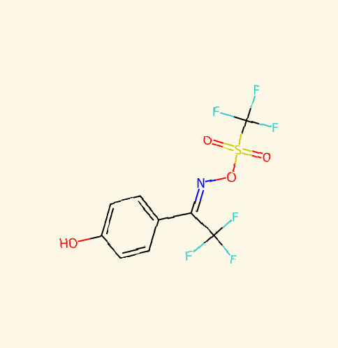 O=S(=O)(ON=C(c1ccc(O)cc1)C(F)(F)F)C(F)(F)F